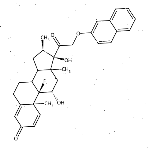 C[C@@H]1CC2C3CCC4=CC(=O)C=CC4(C)[C@@]3(F)[C@@H](O)CC2(C)[C@@]1(O)C(=O)COc1ccc2ccccc2c1